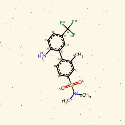 Cc1cc(S(=O)(=O)N(C)C)ccc1-c1cc(C(F)(F)F)ccc1N